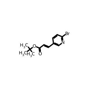 CC(C)(C)OC(=O)/C=C/c1ccc(Br)nc1